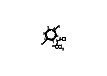 Cc1ccc(C)cc1.ClCC(Cl)(Cl)Cl